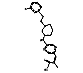 CC(=Cc1cnc(N[C@@H]2CCCN(CCc3cccc(F)c3)C2)cn1)C(=O)O